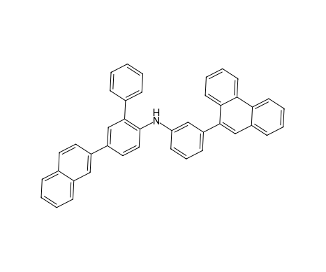 c1ccc(-c2cc(-c3ccc4ccccc4c3)ccc2Nc2cccc(-c3cc4ccccc4c4ccccc34)c2)cc1